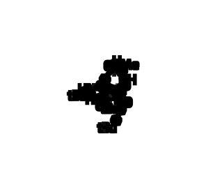 COC(=O)[C@@H]1Cc2ccc(OCCNC(=O)OC(C)(C)C)c(c2)-c2cc(ccc2OCCNC(=O)OC(C)(C)C)[C@H](N(C)C(=O)CNC(=O)c2ccc(-c3ccc(C(C)(C)C)cc3)cc2)C(=O)N[C@@H](C)C(=O)N1